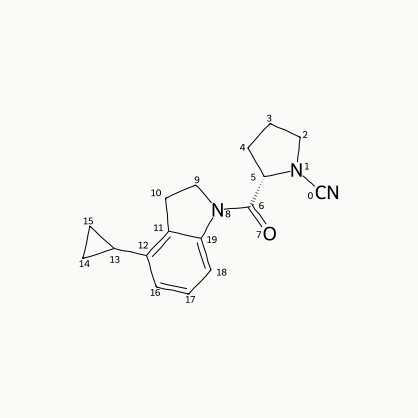 N#CN1CCC[C@H]1C(=O)N1CCc2c(C3CC3)cccc21